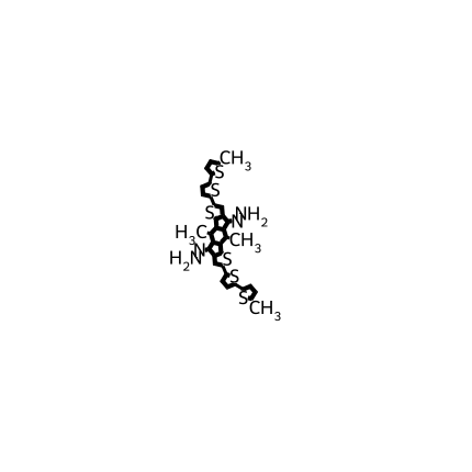 Cc1ccc(-c2ccc(-c3cc4/c(=N\N)c5c(C)c6c(c(C)c5c4s3)/c(=N/N)c3cc(-c4ccc(-c5ccc(C)s5)s4)sc36)s2)s1